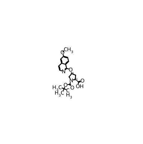 COc1ccc2c(O[C@@H]3C[C@@H](C(=O)O)N(C(=O)OC(C)(C)C)C3)nccc2c1